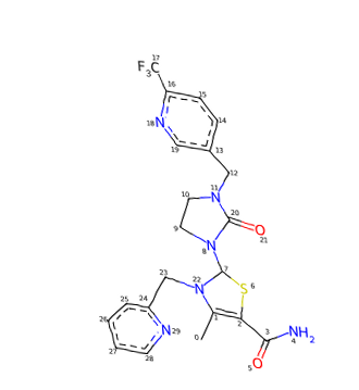 CC1=C(C(N)=O)SC(N2CCN(Cc3ccc(C(F)(F)F)nc3)C2=O)N1Cc1ccccn1